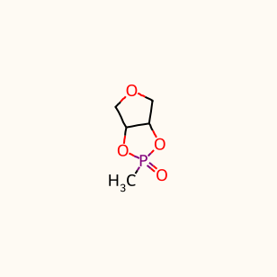 CP1(=O)OC2COCC2O1